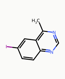 Cc1ncnc2ccc(I)cc12